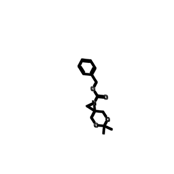 CC1(C)OCC2(CO1)CN2C(=O)OCc1ccccc1